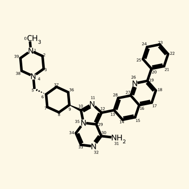 CN1CCN(C[C@H]2CC[C@H](c3nc(-c4ccc5ccc(-c6ccccc6)nc5c4)c4c(N)nccn43)CC2)CC1